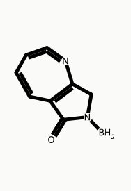 BN1CC2=C(C=CC=C=N2)C1=O